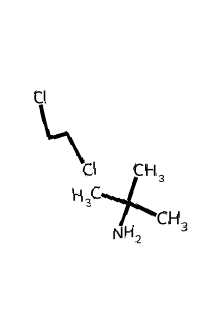 CC(C)(C)N.ClCCCl